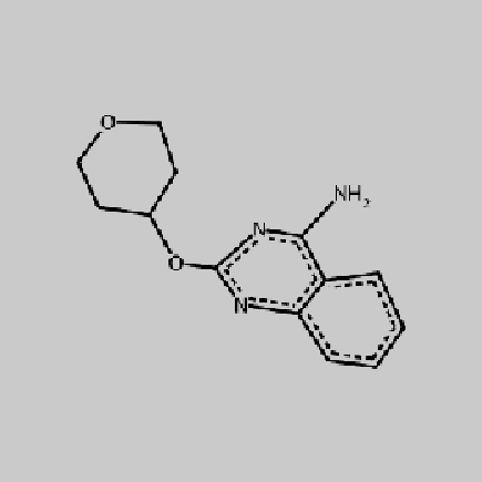 Nc1nc(OC2CCOCC2)nc2ccccc12